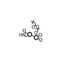 COc1ccc(-c2ccc3c(c2)CNC3=O)c(OCC(C)(C)OC(=O)CC(C)(C)C)c1OC